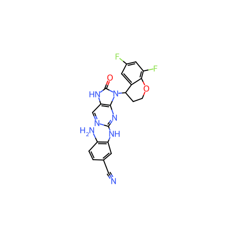 N#Cc1ccc(N)c(Nc2ncc3[nH]c(=O)n(C4CCOc5c(F)cc(F)cc54)c3n2)c1